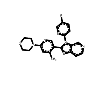 Cc1cc(N2CCOCC2)ncc1-c1nc2ccncc2n1-c1ccc(F)cn1